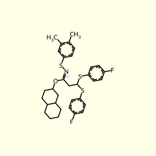 Cc1ccc(S/N=C(/CC(Sc2ccc(F)cc2)Sc2ccc(F)cc2)OC2CCC3CCCCC3C2)cc1C